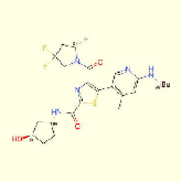 CC[C@@H](C)Nc1cc(C)c(-c2sc(C(=O)N[C@@H]3CC[C@@H](O)C3)nc2C(=O)N2CC(F)(F)C[C@@H]2C)cn1